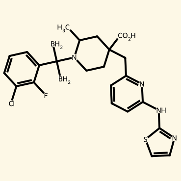 BC(B)(c1cccc(Cl)c1F)N1CCC(Cc2cccc(Nc3nccs3)n2)(C(=O)O)CC1C